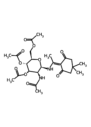 CC(=O)N[C@H]1[C@@H](OC(C)=O)[C@H](OC(C)=O)[C@@H](COC(C)=O)O[C@H]1NC(C)=C1C(=O)CC(C)(C)CC1=O